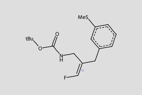 CSc1cccc(C/C(=C/F)CNC(=O)OC(C)(C)C)c1